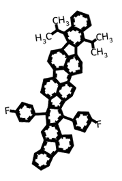 CC(C)c1c2c(c(C(C)C)c3ccccc13)-c1ccc3c4ccc5c6c(-c7ccc(F)cc7)c7c(cc8c9ccccc9c9cccc7c98)c(-c7ccc(F)cc7)c6c6ccc(c7ccc-2c1c73)c4c65